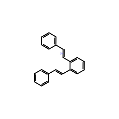 C(=Cc1ccccc1/C=C/c1ccccc1)c1ccccc1